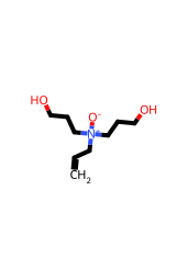 C=CC[N+]([O-])(CCCO)CCCO